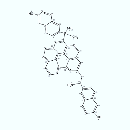 CC(N)(c1ccc2cc(O)ccc2c1)c1cc2ccc3cccc4c5cc(CC(N)c6ccc7cc(O)ccc7c6)cc6ccc1c(c65)c2c34